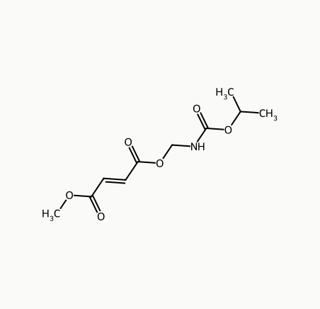 COC(=O)/C=C/C(=O)OCNC(=O)OC(C)C